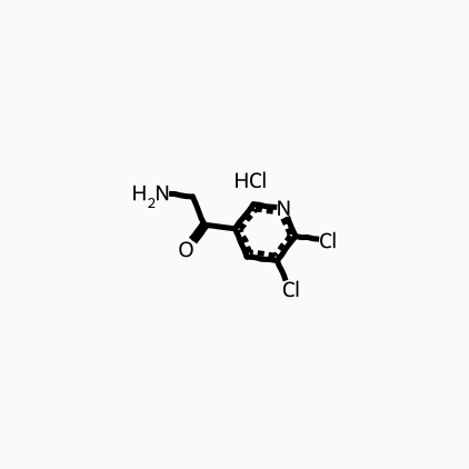 Cl.NCC(=O)c1cnc(Cl)c(Cl)c1